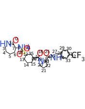 O=C1NCCCCC1NS(=O)(=O)C1CCC[C@H](C(=O)N2CCC[C@@H]2C(=O)NCc2ccc(C(F)(F)F)cc2)C1